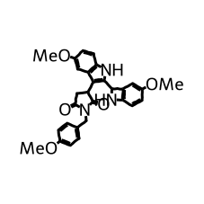 COc1ccc(CN2C(=O)CC(c3c(C4Nc5ccc(OC)cc54)[nH]c4ccc(OC)cc34)C2=O)cc1